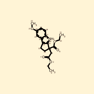 CCOC(=O)CC1(C(=O)OCC)CCc2c1[nH]c1ccc(OC)cc21